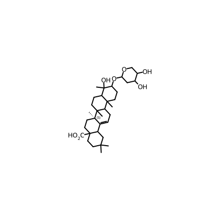 CC1(C)CCC2(C(=O)O)CC[C@]3(C)C(=CCC4C5(C)CCC(OC6CC(O)C(O)CO6)C(C)(O)C5CCC43C)C2C1